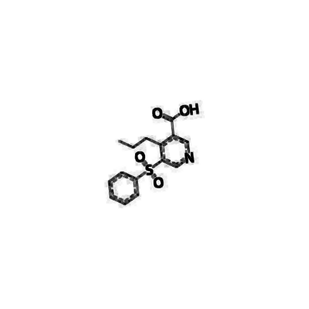 CCCc1c(C(=O)O)cncc1S(=O)(=O)c1ccccc1